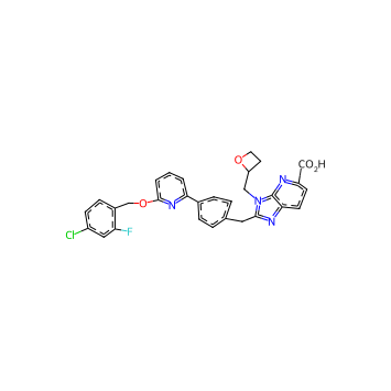 O=C(O)c1ccc2nc(Cc3ccc(-c4cccc(OCc5ccc(Cl)cc5F)n4)cc3)n(CC3CCO3)c2n1